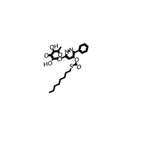 CCCCCCCCSC(=O)Oc1cc(Cl)nnc1-c1ccccc1.Cc1occ(O)c(=O)c1O